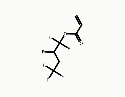 C=CC(=O)OC(F)(F)C(F)CC(F)(F)F